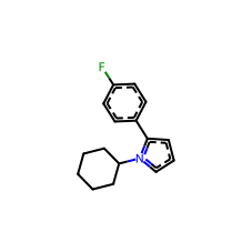 Fc1ccc(-c2cccn2C2CCCCC2)cc1